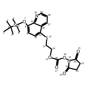 CC(C)(C)[Si](C)(C)Oc1ccc(SCCOC(=O)ON2C(=O)CCC2=O)c2cccnc12